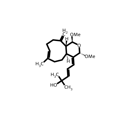 C=C1CC/C=C(\C)CC[C@@H]2/C(=C\C=C\C(C)(C)O)[C@@H](OC)O[C@H](OC)[C@@H]12